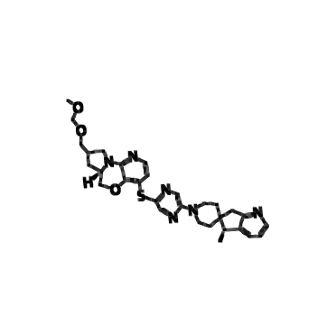 COCOCC1C[C@H]2COc3c(Sc4cnc(N5CCC6(CC5)Cc5ncccc5[C@H]6C)cn4)ccnc3N2C1